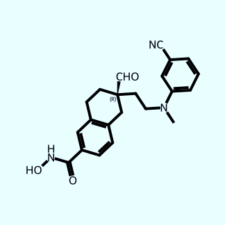 CN(CC[C@@]1(C=O)CCc2cc(C(=O)NO)ccc2C1)c1cccc(C#N)c1